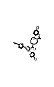 CC(=O)N1CCN(C(=O)[C@@H]2CN(c3ccc(C#N)nn3)C[C@H]2c2ccc(Cl)cn2)CCC[C@H]1c1ccc(Cl)cc1